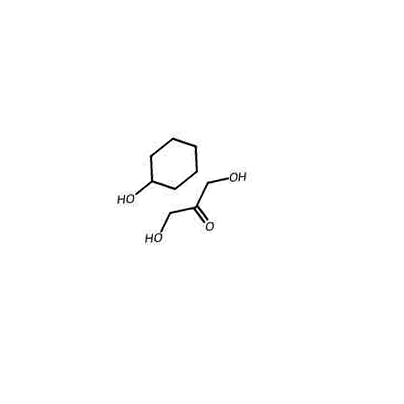 O=C(CO)CO.OC1CCCCC1